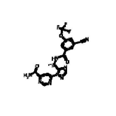 C[C@H](NC(=O)c1cc(C#N)cc(OC(F)(F)F)c1)c1ncnn1-c1cc(C(N)=O)ncn1